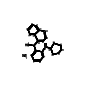 Cl.OC(c1ccccc1NC1CCCCC1)c1ccnc2ccccc12